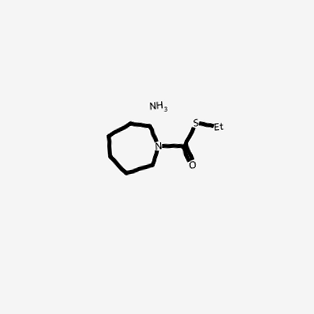 CCSC(=O)N1CCCCCC1.N